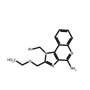 CC(C)Cn1c(COCC(=O)O)nc2c(N)nc3ccccc3c21